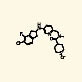 CN(Cc1ccc(NC2Cc3ccc(Cl)c(F)c3C2)cn1)C(=O)C1CC[S+]([O-])CC1